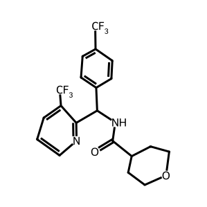 O=C(NC(c1ccc(C(F)(F)F)cc1)c1ncccc1C(F)(F)F)C1CCOCC1